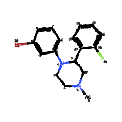 CC(=O)N1CCN(c2cccc(Br)c2)C(c2ccccc2F)C1